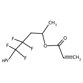 C=CC(=O)OC(C)CC(F)(F)C(F)(F)CCC